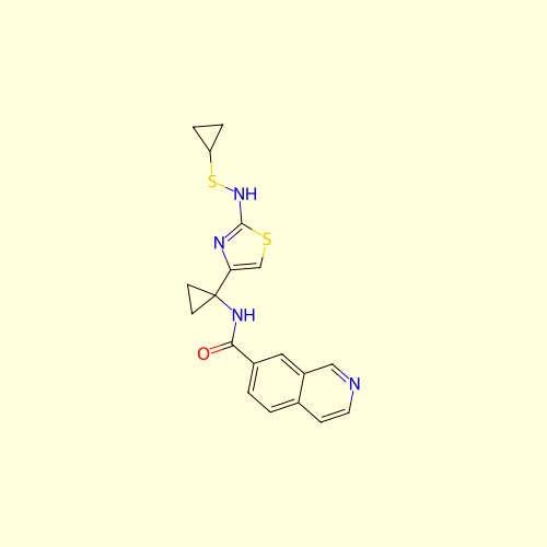 O=C(NC1(c2csc(NSC3CC3)n2)CC1)c1ccc2ccncc2c1